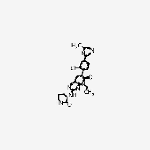 CCn1c(=O)c(-c2ccc(-c3cncc(C)n3)cc2Cl)cc2cnc(N[C@H]3CCCNC3=O)nc21